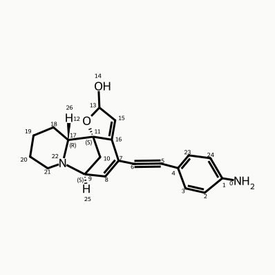 Nc1ccc(C#CC2=C[C@@H]3C[C@@]4(OC(O)C=C24)[C@H]2CCCCN32)cc1